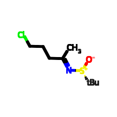 C/C(CCCCl)=N\[S@+]([O-])C(C)(C)C